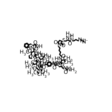 CC[C@H](C)[C@@H]([C@@H](CC(=O)N1CCC[C@H]1[C@H](OC)[C@@H](C)C(=O)N[C@@H](Cc1ccccc1)C(=O)O)OC)N(C)C(=O)[C@@H](NC(=O)[C@H](C(C)C)N(C)C(=O)OCc1ccc(NC(=O)[C@H](CCCNC(N)=O)NC(=O)[C@@H](NC(=O)CCCCCN2C(=O)CC(SCC(N)C(=O)NCCCN=[N+]=[N-])C2=O)C(C)C)cc1)C(C)C